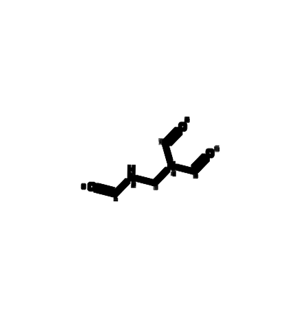 O=CNCN(C=O)C=O